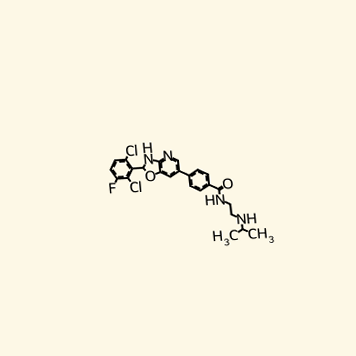 CC(C)NCCNC(=O)c1ccc(-c2cnc3c(c2)OC(c2c(Cl)ccc(F)c2Cl)N3)cc1